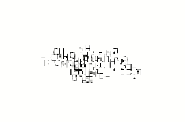 C=C(C)NC(=C)[S+]([O-])C[C@H](NC(=O)CNC(=O)[C@@H](NC(=O)CC)[C@@H](C)CC)C(=O)N[C@@H](CC(N)=O)C(=O)N1C[C@H](O)C[C@H]1C(=O)N[C@H](C(=O)NSC1CCN(C(=O)CCNC(=O)C(C)CC(=O)O)C1)[C@@H](C)[C@@H](O)CO